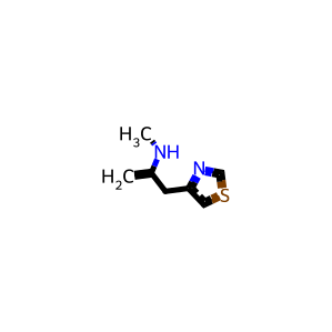 C=C(Cc1cscn1)NC